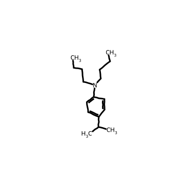 CCCCN(CCCC)c1ccc(C(C)C)cc1